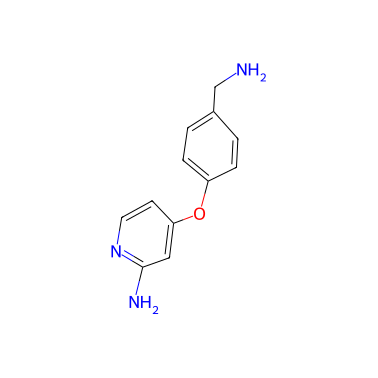 NCc1ccc(Oc2ccnc(N)c2)cc1